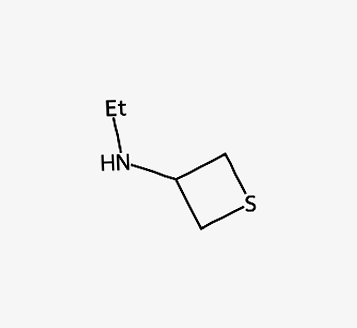 CCNC1CSC1